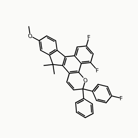 COc1ccc2c(c1)C(C)(C)c1c3c(c4c(F)cc(F)cc4c1-2)OC(c1ccccc1)(c1ccc(F)cc1)C=C3